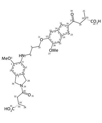 COc1cc2c(cc1NCCCOc1cc3cc(C(=O)C[C@H](C)C(=O)O)sc3cc1OC)CN(C(=O)C[C@H](C)C(=O)O)C2